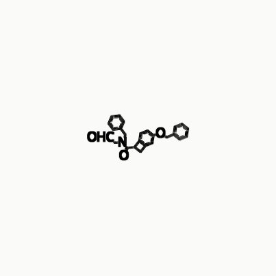 O=CCN(Cc1ccccc1)C(=O)C1Cc2cc(OCc3ccccc3)ccc21